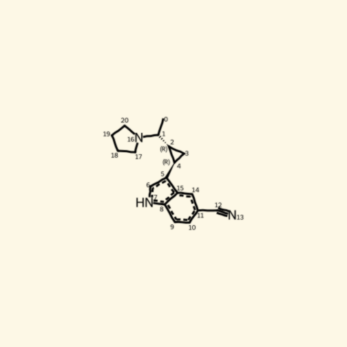 CC([C@@H]1C[C@H]1c1c[nH]c2ccc(C#N)cc12)N1CCCC1